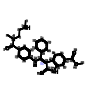 CNCCN(C)C(=O)c1ccc(N/C(=C2\C(=O)Nc3cc(C(=O)OC)ccc32)c2ccccc2)cc1